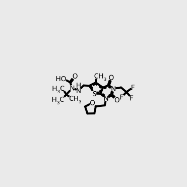 Cc1c(CNN(C(=O)O)C(C)(C)C)sc2c1c(=O)n(CC(F)(F)F)c(=O)n2CC1CCCO1